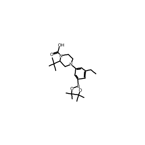 CCc1cc(B2OC(C)(C)C(C)(C)O2)cc(N2CCN(C(=O)O)C(C(C)(C)C)C2)c1